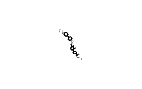 CC1CCC(C2CCC(OCc3ccc(C4CCC(/C(F)=C/C(F)(F)F)CC4)c(F)c3)CC2)CC1